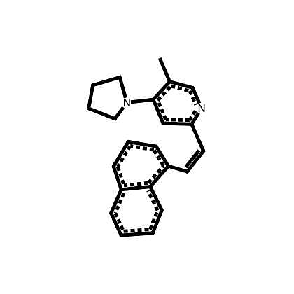 Cc1cnc(/C=C\c2cccc3ccccc23)cc1N1CCCC1